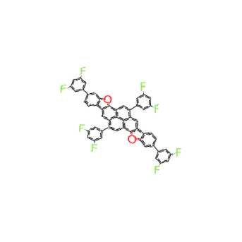 Fc1cc(F)cc(-c2ccc3c(c2)oc2c3cc3c(-c4cc(F)cc(F)c4)cc4c5oc6cc(-c7cc(F)cc(F)c7)ccc6c5cc5c(-c6cc(F)cc(F)c6)cc2c3c54)c1